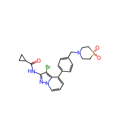 O=C(Nc1nn2cccc(-c3ccc(CN4CCS(=O)(=O)CC4)cc3)c2c1Br)C1CC1